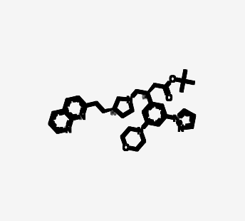 CC(C)(C)OC(=O)C[C@H](CN1CC[C@@H](CCc2ccc3cccnc3n2)C1)c1cc(N2CCOCC2)cc(-n2cccn2)c1